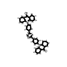 O=c1c2ccccc2n(-c2ccc(-c3nnc(-c4ccc(-n5c6ccccc6c(=O)c6ccccc65)cc4)s3)cc2)c2ccccc12